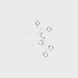 COC[C@@H]1O[C@@H](n2cnc3c(NCC(c4ccccc4)c4ccccc4)nc(C#N)nc32)[C@H](OC(=O)c2ccccc2)[C@@H]1OC(=O)c1ccccc1